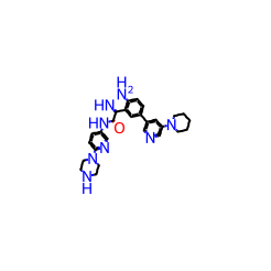 N=C(C(=O)Nc1ccc(N2CCNCC2)nc1)c1cc(-c2cncc(N3CCCCC3)c2)ccc1N